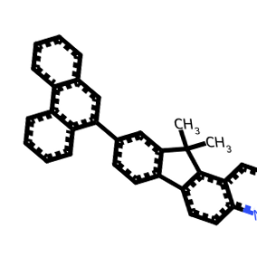 CC1(C)c2cc(-c3cc4ccccc4c4ccccc34)ccc2-c2ccc3ncccc3c21